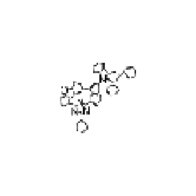 c1ccc(-c2ccc3c(c2)c2ccccc2n3-c2cc(-c3ccc4oc5cccc(-c6nc(-c7ccccc7)nc(-c7ccccc7)n6)c5c4c3)ccc2-c2ccccc2)cc1